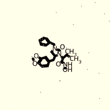 CC(C)C(C(=O)NO)N1C(=O)N(Cc2ccccc2)CC1Cc1ccc2c(c1)OCO2